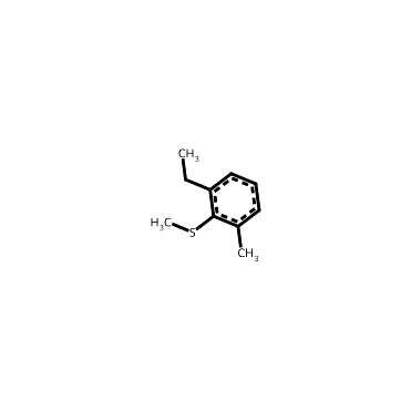 CCc1cccc(C)c1SC